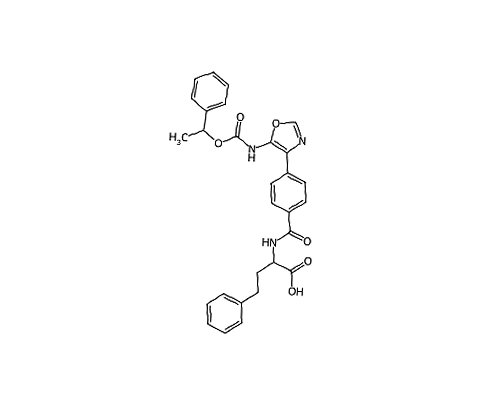 CC(OC(=O)Nc1ocnc1-c1ccc(C(=O)NC(CCc2ccccc2)C(=O)O)cc1)c1ccccc1